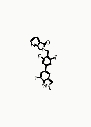 Cn1cc2cc(-c3cc(F)c(CN4Cc5ncccc5C4=O)c(F)c3)cc(F)c2n1